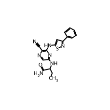 CCC(Nc1cnc(C#N)c(Nc2cc(-c3ccccc3)ns2)n1)C(N)=O